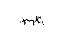 N=C(N)NCCCC(F)(F)F